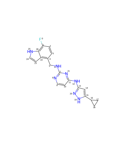 Fc1ccc(CNc2nccc(Nc3cc(C4CC4)[nH]n3)n2)c2cc[nH]c12